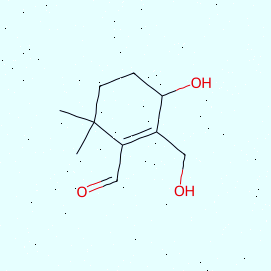 CC1(C)CCC(O)C(CO)=C1C=O